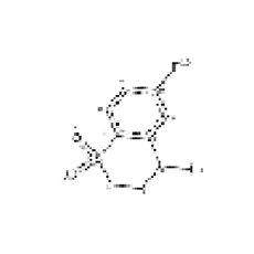 O=S1(=O)CCC(I)c2cc(F)ccc21